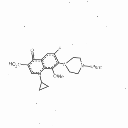 CCCCCN1CCN(c2c(F)cc3c(=O)c(C(=O)O)cn(C4CC4)c3c2OC)CC1